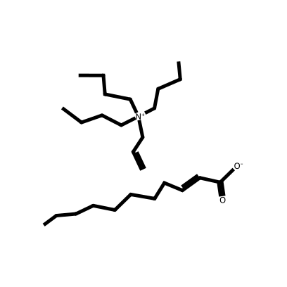 C=CC[N+](CCCC)(CCCC)CCCC.CCCCCCCCC=CC(=O)[O-]